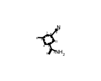 C=C(N)c1cc(C)cc(C#N)c1